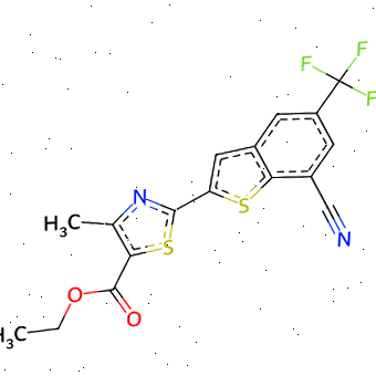 CCOC(=O)c1sc(-c2cc3cc(C(F)(F)F)cc(C#N)c3s2)nc1C